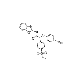 CCS(=O)(=O)c1ccc(C(Oc2ccc(C#N)cc2)C(=O)Nc2nc3ccccc3o2)cc1